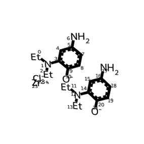 CCN(CC)c1cc(N)ccc1[O-].CCN(CC)c1cc(N)ccc1[O-].[Cl-].[Zr+3]